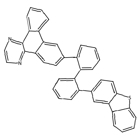 c1ccc(-c2ccccc2-c2ccc3c(c2)c2ccccc2c2nccnc32)c(-c2ccc3sc4ccccc4c3c2)c1